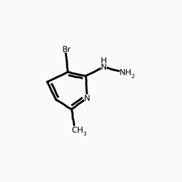 Cc1ccc(Br)c(NN)n1